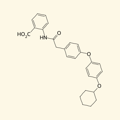 O=C(Cc1ccc(Oc2ccc(OC3CCCCC3)cc2)cc1)Nc1ccccc1C(=O)O